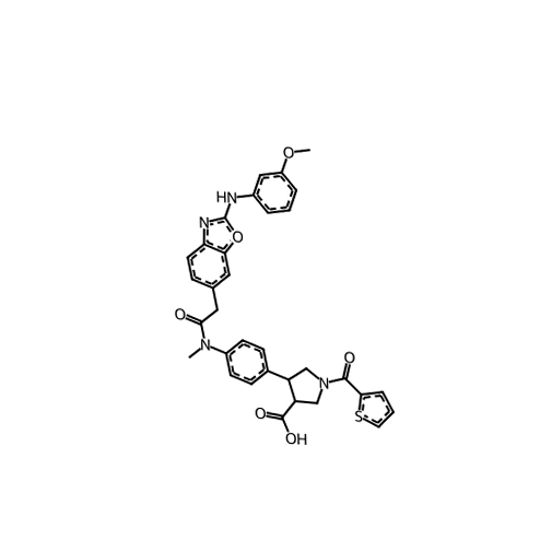 COc1cccc(Nc2nc3ccc(CC(=O)N(C)c4ccc(C5CN(C(=O)c6cccs6)CC5C(=O)O)cc4)cc3o2)c1